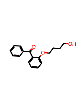 O=C(c1ccccc1)c1ccccc1OCCCCO